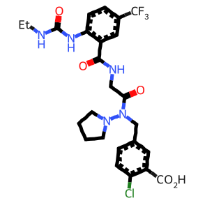 CCNC(=O)Nc1ccc(C(F)(F)F)cc1C(=O)NCC(=O)N(Cc1ccc(Cl)c(C(=O)O)c1)N1CCCC1